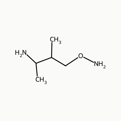 CC(N)C(C)CON